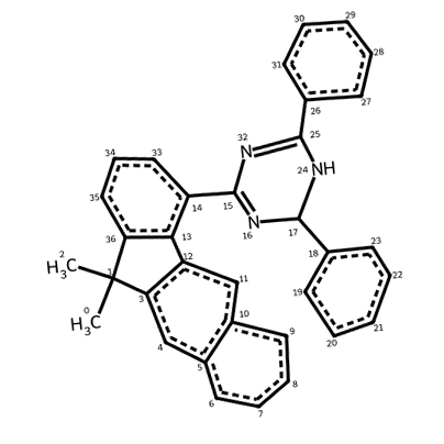 CC1(C)c2cc3ccccc3cc2-c2c(C3=NC(c4ccccc4)NC(c4ccccc4)=N3)cccc21